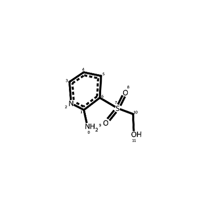 Nc1ncccc1S(=O)(=O)CO